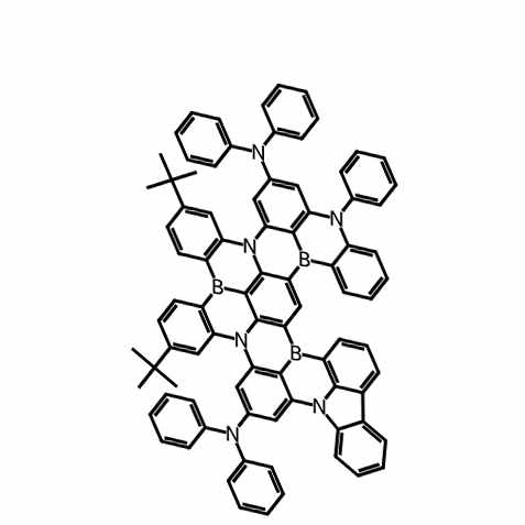 CC(C)(C)c1ccc2c(c1)N1c3cc(N(c4ccccc4)c4ccccc4)cc4c3B(c3ccccc3N4c3ccccc3)c3cc4c5c(c31)B2c1ccc(C(C)(C)C)cc1N5c1cc(N(c2ccccc2)c2ccccc2)cc2c1B4c1cccc3c4ccccc4n-2c13